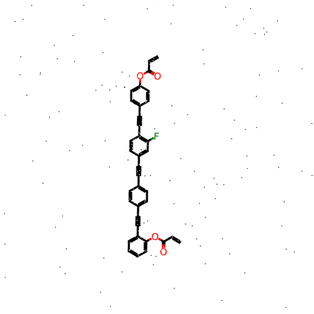 C=CC(=O)Oc1ccc(C#Cc2ccc(C#Cc3ccc(C#Cc4ccccc4OC(=O)C=C)cc3)cc2F)cc1